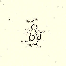 CN(C)c1ccc2c(c1)[Si](C)(C)c1cc(N(C)C)ccc1C21OC(=O)c2ccc(C(=O)O)cc21